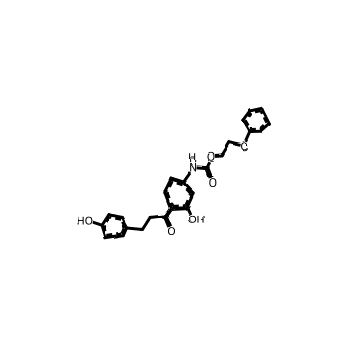 O=C(Nc1ccc(C(=O)CCc2ccc(O)cc2)c(O)c1)OCCOc1ccccc1